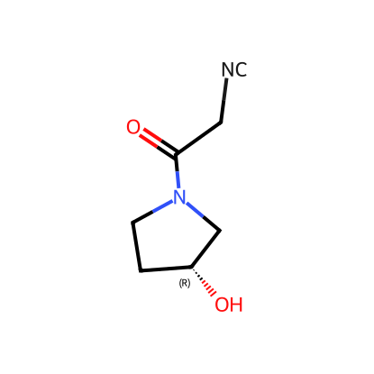 [C-]#[N+]CC(=O)N1CC[C@@H](O)C1